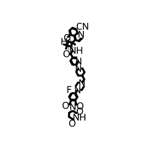 CC1(C)[C@H](NC(=O)c2ccc(N3CCC(CN4CCN(c5cc6c(cc5F)C(=O)N(C5CCC(=O)NC5=O)C6=O)CC4)CC3)nc2)C2(C)c3ccnc4c(C#N)ccc(c34)O[C@@H]12